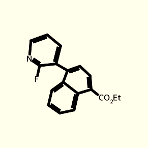 CCOC(=O)c1ccc(-c2cccnc2F)c2ccccc12